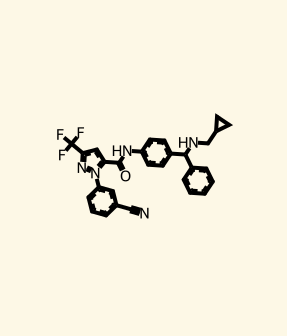 N#Cc1cccc(-n2nc(C(F)(F)F)cc2C(=O)Nc2ccc(C(NCC3CC3)c3ccccc3)cc2)c1